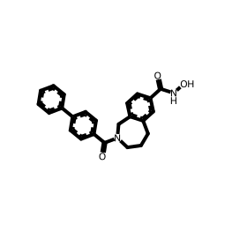 O=C(NO)c1ccc2c(c1)CCCN(C(=O)c1ccc(-c3ccccc3)cc1)C2